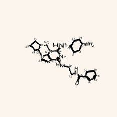 N[C@H]1CC[C@H](NC2N=C(NCCNC(=O)c3ccccc3)c3ncn(C4CCCC4)c3N2Cl)CC1